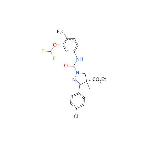 CCOC(=O)C1(C)CN(C(=O)Nc2ccc(C(F)(F)F)c(OC(F)F)c2)N=C1c1ccc(Cl)cc1